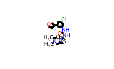 CC(C)N(C)Cc1csc(NC(=O)Nc2cc(Cl)cc(-c3ccoc3)c2)n1